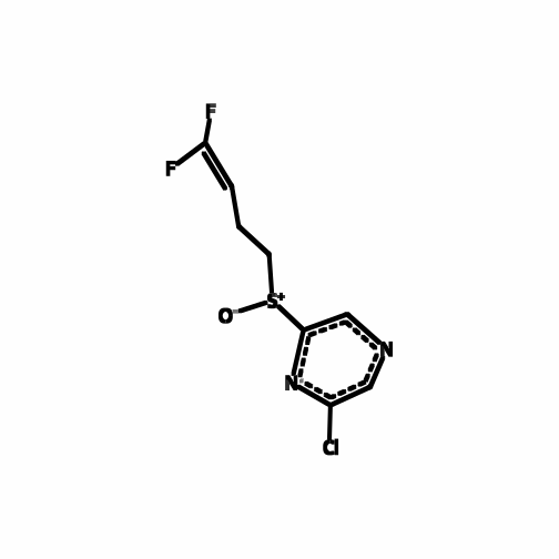 [O-][S+](CCC=C(F)F)c1cncc(Cl)n1